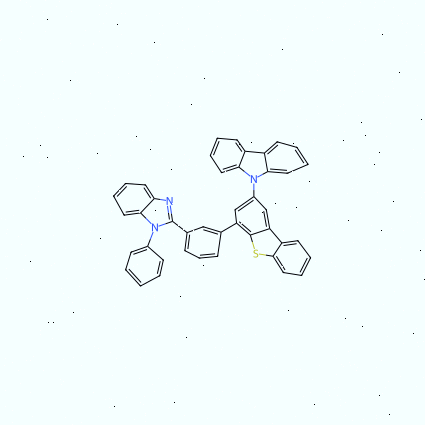 c1ccc(-n2c(-c3cccc(-c4cc(-n5c6ccccc6c6ccccc65)cc5c4sc4ccccc45)c3)nc3ccccc32)cc1